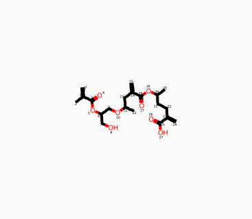 C=C(C)C(=O)OC(CO)COC(C)CC(=C)C(=O)OC(C)CCC(=C)C(=O)O